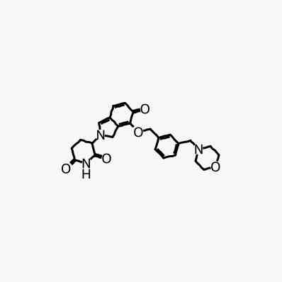 O=C1CCC(N2C=C3C=CC(=O)C(OCc4cccc(CN5CCOCC5)c4)=C3C2)C(=O)N1